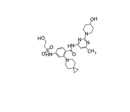 Cc1cc(NC(=O)c2ccc(NS(=O)(=O)CCO)cc2N2CCC3(CC2)CC3)nc(N2CCC(O)CC2)n1